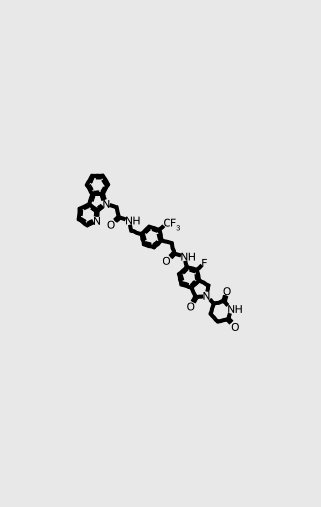 O=C(Cn1c2ccccc2c2cccnc21)NCc1ccc(CC(=O)Nc2ccc3c(c2F)CN(C2CCC(=O)NC2=O)C3=O)c(C(F)(F)F)c1